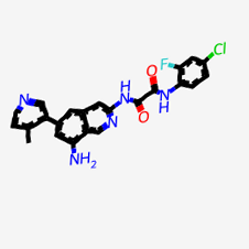 Cc1ccncc1-c1cc(N)c2cnc(NC(=O)C(=O)Nc3ccc(Cl)cc3F)cc2c1